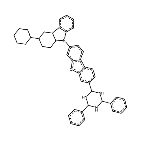 c1ccc(C2NC(c3ccccc3)NC(c3ccc4c(c3)oc3cc(N5c6ccccc6C6CC(C7CCCCC7)CCC65)ccc34)N2)cc1